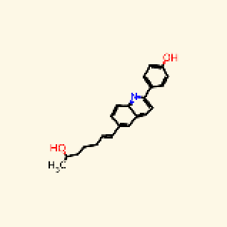 CC(O)CCC/C=C/c1ccc2nc(-c3ccc(O)cc3)ccc2c1